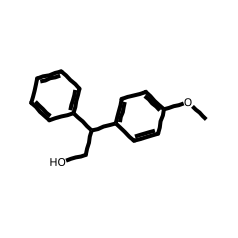 COc1ccc(C(CO)c2ccccc2)cc1